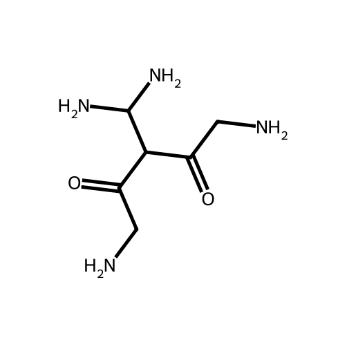 NCC(=O)C(C(=O)CN)C(N)N